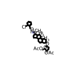 CC(=O)OC[C@H]1OC(O[C@H]2CC[C@@]3(C)C(=CCC4C3CC[C@@]3(C)C4CC[C@@H]3/C(C)=N/OCc3ccccc3Cl)C2)C=C[C@@H]1OC(C)=O